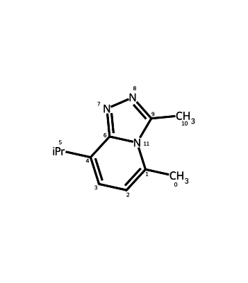 Cc1ccc(C(C)C)c2nnc(C)n12